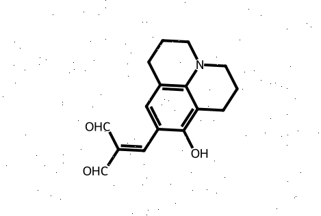 O=CC(C=O)=Cc1cc2c3c(c1O)CCCN3CCC2